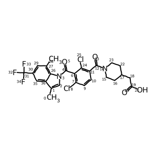 Cc1cn(C(=O)c2c(Cl)ccc(C(=O)N3CCC(CC(=O)O)CC3)c2Cl)c2c(C)cc(C(F)(F)F)cc12